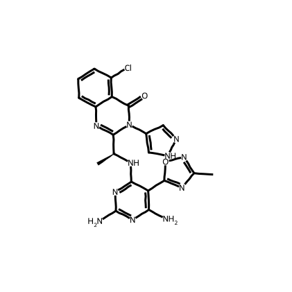 Cc1noc(-c2c(N)nc(N)nc2N[C@@H](C)c2nc3cccc(Cl)c3c(=O)n2-c2cn[nH]c2)n1